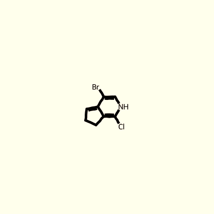 ClC1=C2CCC=C2C(Br)=CN1